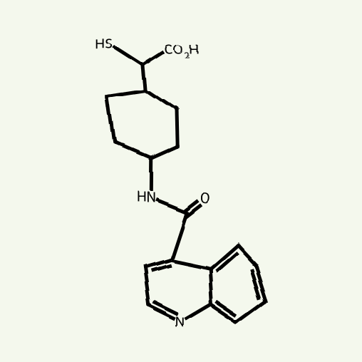 O=C(NC1CCC(C(S)C(=O)O)CC1)c1ccnc2ccccc12